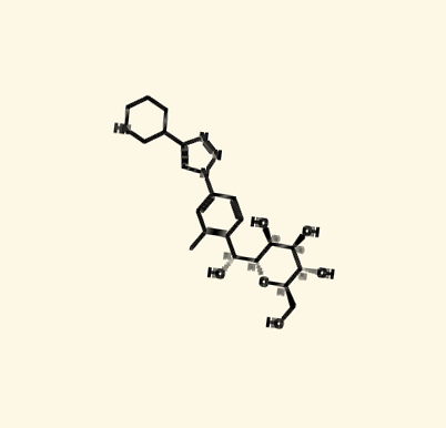 Cc1cc(-n2cc(C3CCCNC3)nn2)ccc1[C@@H](O)[C@H]1O[C@H](CO)[C@@H](O)[C@H](O)[C@@H]1O